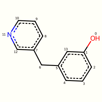 Oc1cccc(Cc2cccnc2)c1